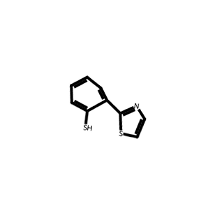 Sc1ccccc1-c1nccs1